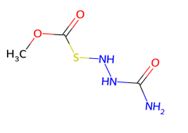 COC(=O)SNNC(N)=O